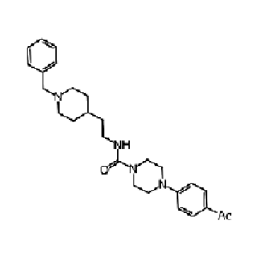 CC(=O)c1ccc(N2CCN(C(=O)NCCC3CCN(Cc4ccccc4)CC3)CC2)cc1